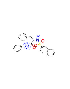 O=C(NNc1ccccc1)C(Cc1ccccc1)NS(=O)(=O)c1ccc2ccccc2c1